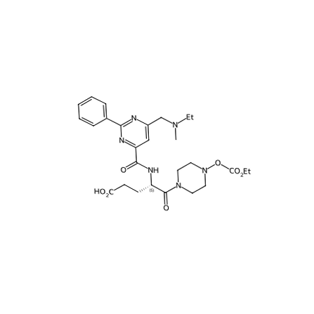 CCOC(=O)ON1CCN(C(=O)[C@H](CCC(=O)O)NC(=O)c2cc(CN(C)CC)nc(-c3ccccc3)n2)CC1